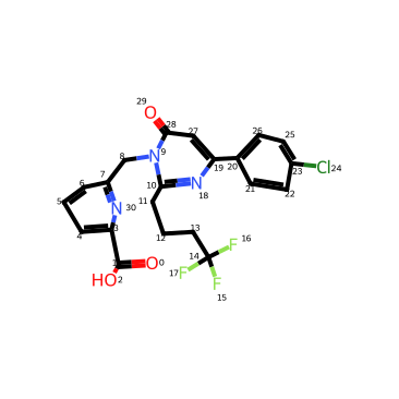 O=C(O)c1cccc(Cn2c(CCCC(F)(F)F)nc(-c3ccc(Cl)cc3)cc2=O)n1